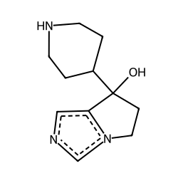 OC1(C2CCNCC2)CCn2cncc21